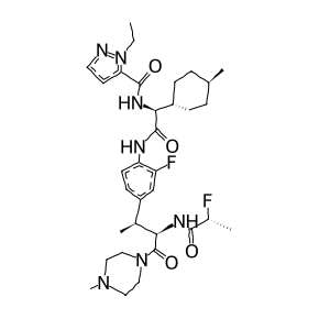 CCn1nccc1C(=O)N[C@H](C(=O)Nc1ccc([C@H](C)[C@@H](NC(=O)[C@@H](C)F)C(=O)N2CCN(C)CC2)cc1F)[C@H]1CC[C@H](C)CC1